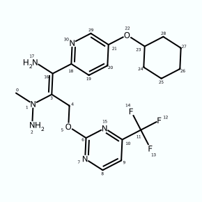 CN(N)/C(COc1nccc(C(F)(F)F)n1)=C(\N)c1ccc(OC2CCCCC2)cn1